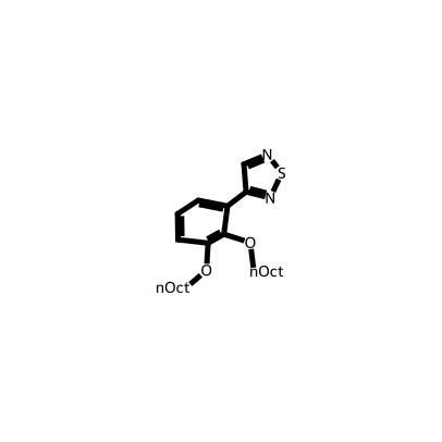 CCCCCCCCOc1cccc(-c2cnsn2)c1OCCCCCCCC